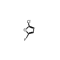 Fc1c[c]c(Cl)o1